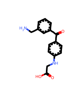 NCc1cccc(C(=O)c2ccc(NCC(=O)O)cc2)c1